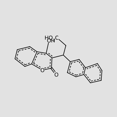 O=C(O)CC(c1ccc2ccccc2c1)c1c(O)c2ccccc2oc1=O